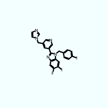 Fc1cc2nc(-c3cncc(Cn4ccnc4)c3)n(Cc3ccc(I)cc3)c2cc1I